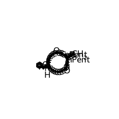 C=C=C=C=C1C(CCCCC)CCOC(=O)CCCCCCCC(NC(=O)CN2CCCCC2)CCCCCCCC(=O)OCCC1CCCCC